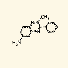 Cc1nc2ccc(N)cc2nc1-c1ccccc1